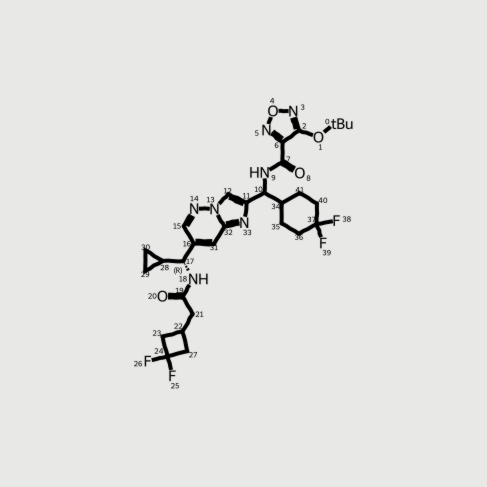 CC(C)(C)Oc1nonc1C(=O)NC(c1cn2ncc([C@H](NC(=O)CC3CC(F)(F)C3)C3CC3)cc2n1)C1CCC(F)(F)CC1